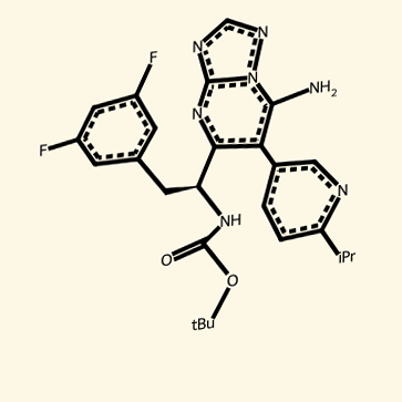 CC(C)c1ccc(-c2c([C@H](Cc3cc(F)cc(F)c3)NC(=O)OC(C)(C)C)nc3ncnn3c2N)cn1